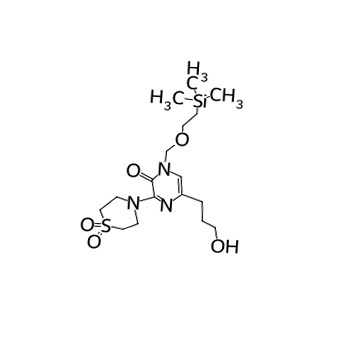 C[Si](C)(C)CCOCn1cc(CCCO)nc(N2CCS(=O)(=O)CC2)c1=O